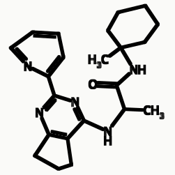 CC(Nc1nc(-c2ccccn2)nc2c1CCC2)C(=O)NC1(C)CCCCC1